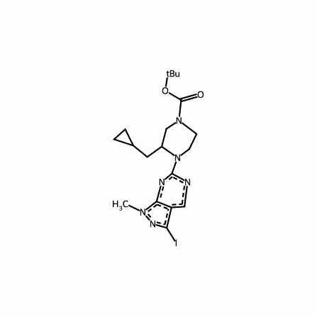 Cn1nc(I)c2cnc(N3CCN(C(=O)OC(C)(C)C)CC3CC3CC3)nc21